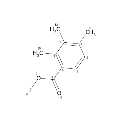 Cc1ccc(C(=O)OI)c(C)c1C